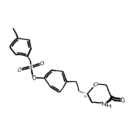 Cc1ccc(S(=O)(=O)Oc2ccc(CC[C@H]3CNC(=O)CO3)cc2)cc1